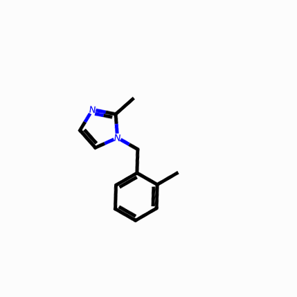 Cc1ccccc1Cn1ccnc1C